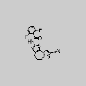 N#Cc1cc2c(s1)CCCc1nc(NC(=O)c3c(F)cccc3F)sc1-2